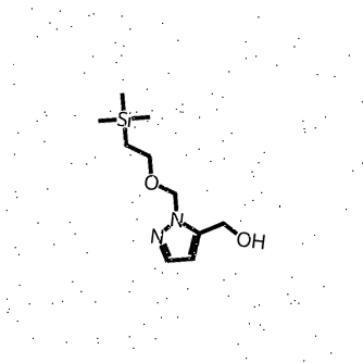 C[Si](C)(C)CCOCn1nccc1CO